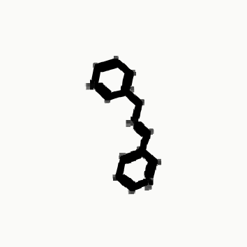 C(=NCc1cccnc1)c1cccnc1